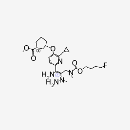 COC(=O)[C@H]1CCCC(Oc2ccc(/C(N)=C(\CN(C)C(=O)OCCCCF)N(C)N)nc2C2CC2)C1